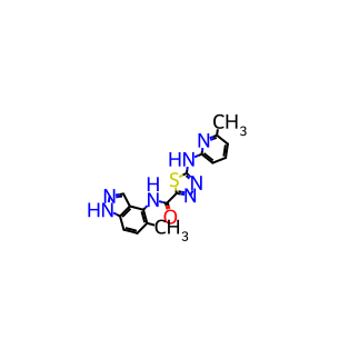 Cc1cccc(Nc2nnc(C(=O)Nc3c(C)ccc4[nH]ncc34)s2)n1